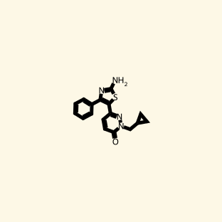 Nc1nc(-c2ccccc2)c(-c2ccc(=O)n(CC3CC3)n2)s1